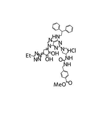 CCc1nnn([C@H]2C[C@@H](n3cnc4c(NCC(c5ccccc5)c5ccccc5)nc(N5CCC(NC(=O)NCc6ccc(C(=O)OC)cc6)C5)nc43)[C@H](O)[C@@H]2O)n1.Cl